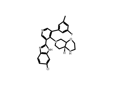 Cc1cc(F)cc(-c2cncc(-c3nc4ccc(Cl)cc4[nH]3)c2N2CC[C@H]3NCCOC3C2)c1